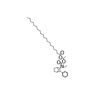 CCCCCCCCCCCCCCCCCCCC(=O)OC(C)OC(=O)N(CC)C1C2CCC(C2)C1c1ccccc1